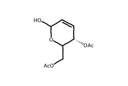 CC(=O)OCC1OC(O)C=C[C@@H]1OC(C)=O